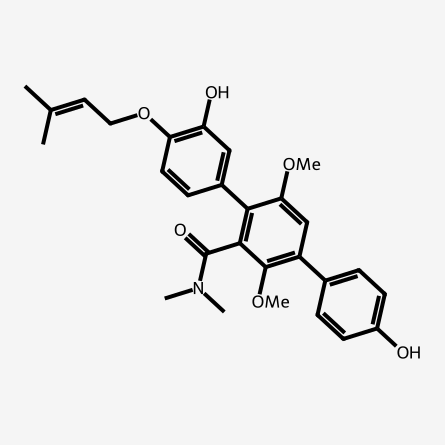 COc1cc(-c2ccc(O)cc2)c(OC)c(C(=O)N(C)C)c1-c1ccc(OCC=C(C)C)c(O)c1